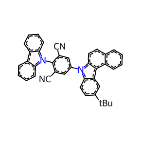 CC(C)(C)c1ccc2c(c1)c1c3ccccc3ccc1n2-c1cc(C#N)c(-n2c3ccccc3c3ccccc32)c(C#N)c1